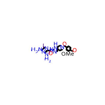 COC(=O)c1ccc(C(=O)N2CCC3(CC2)CN/C(=N\C(=O)c2nc(I)c(N)nc2N)N3)cc1